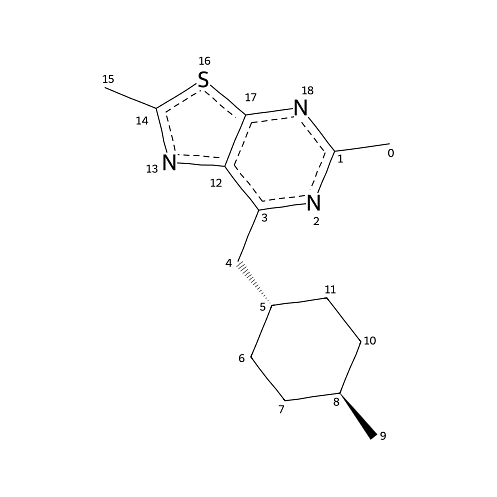 Cc1nc(C[C@H]2CC[C@H](C)CC2)c2nc(C)sc2n1